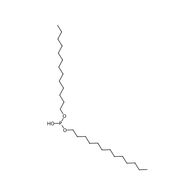 CCCCCCCCCCCCCOP(O)OCCCCCCCCCCCCC